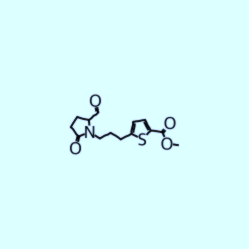 COC(=O)c1ccc(CCCN2C(=O)CCC2C=O)s1